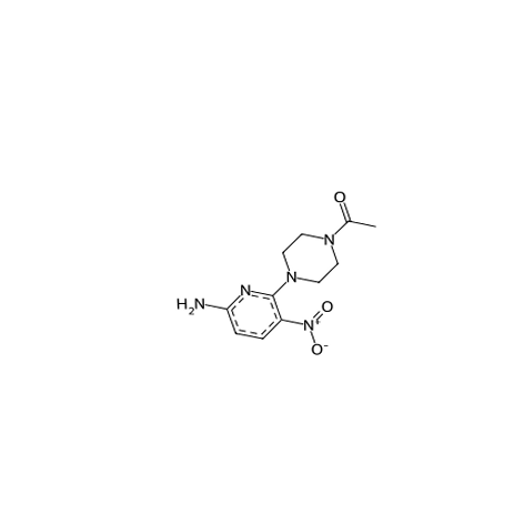 CC(=O)N1CCN(c2nc(N)ccc2[N+](=O)[O-])CC1